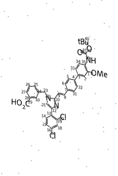 COc1cc(-c2ccc(/C=C/c3nc(-c4ccc(Cl)cc4Cl)cn3Cc3cccc(C(=O)O)c3)cc2)ccc1NC(=O)OC(C)(C)C